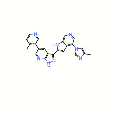 Cc1cn(-c2cncc3[nH]c(-c4n[nH]c5ncc(-c6cnccc6C)cc45)cc23)cn1